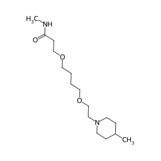 CNC(=O)CCOCCCCOCCN1CCC(C)CC1